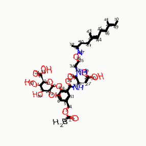 BC(=O)OCc1ccc(O[C@@H]2O[C@H](C(=O)O)[C@@H](O)[C@H](O)[C@H]2O)c(C(=O)N[C@@H](CC(=O)O)C(=O)NCCO/N=C(\C)CC/C(C)=C/CC/C(C)=C/C)c1